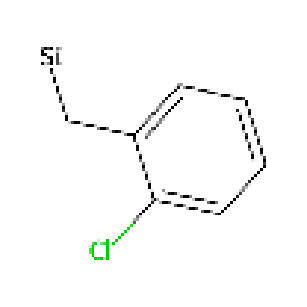 [Si]Cc1ccccc1Cl